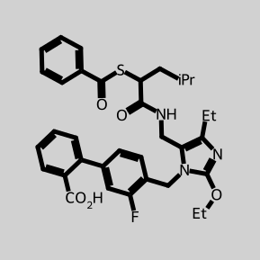 CCOc1nc(CC)c(CNC(=O)C(CC(C)C)SC(=O)c2ccccc2)n1Cc1ccc(-c2ccccc2C(=O)O)cc1F